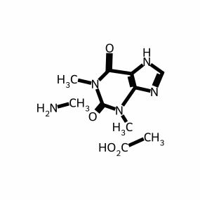 CC(=O)O.CN.Cn1c(=O)c2[nH]cnc2n(C)c1=O